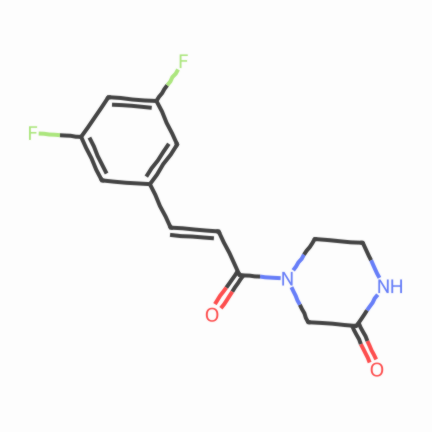 O=C1CN(C(=O)C=Cc2cc(F)cc(F)c2)CCN1